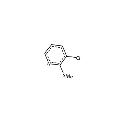 [CH2]Sc1ncccc1Cl